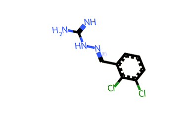 N=C(N)N/N=C/c1cccc(Cl)c1Cl